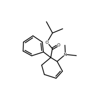 CC(C)OC(=O)C1(c2ccccc2)CCC=CC1N(C)C